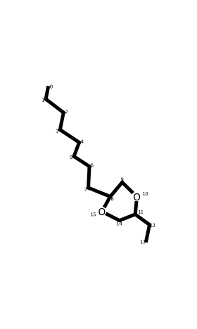 CCCCCCCCC1COC(CC)CO1